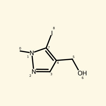 Cn1ncc(CO)c1I